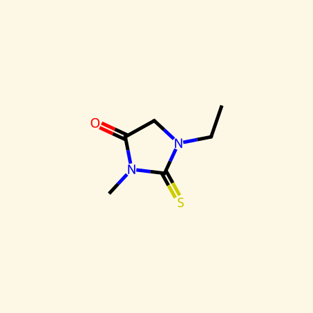 CCN1CC(=O)N(C)C1=S